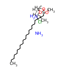 CCCCCCCCCCCCCCCCCCC(N)(Cl)C(C)(C)C[Si](OC)(OC)OC.N